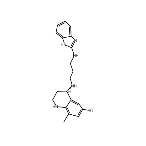 CCc1cc(I)c2c(c1)[C@H](NCCCNc1nc3ccccc3[nH]1)CCN2